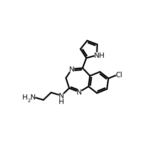 NCCNC1=Nc2ccc(Cl)cc2C(c2ccc[nH]2)=NC1